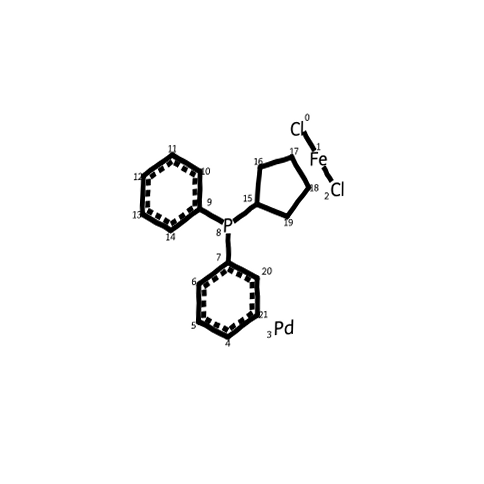 [Cl][Fe][Cl].[Pd].c1ccc(P(c2ccccc2)C2CCCC2)cc1